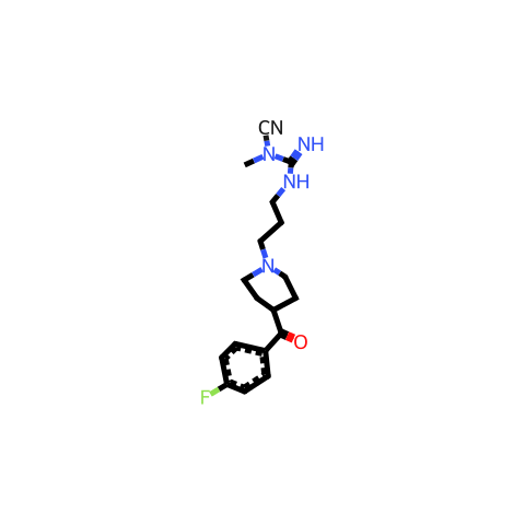 CN(C#N)C(=N)NCCCN1CCC(C(=O)c2ccc(F)cc2)CC1